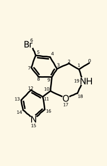 CC1Cc2cc(Br)ccc2C(c2cccnc2)OCN1